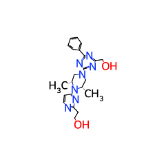 C[C@@H]1CN(c2nc(CO)nc(-c3ccccc3)n2)C[C@H](C)N1c1ccnc(CCO)n1